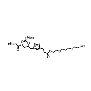 CCCCCCCCCC(=O)OCC(Cn1cc(CCC(=O)OCCOCCCOCCO)nn1)OC(=O)CCCCCCCCC